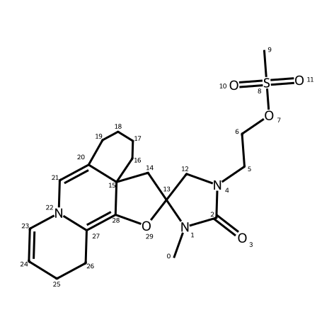 CN1C(=O)N(CCOS(C)(=O)=O)CC12CC13CCCCC1=CN1C=CCCC1=C3O2